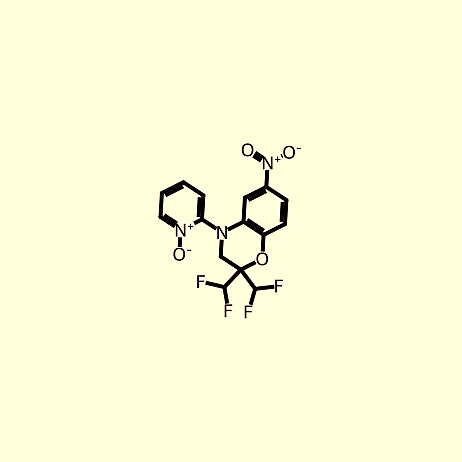 O=[N+]([O-])c1ccc2c(c1)N(c1cccc[n+]1[O-])CC(C(F)F)(C(F)F)O2